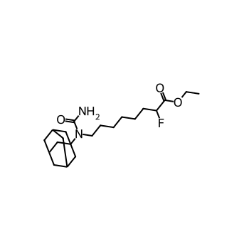 CCOC(=O)C(F)CCCCCCN(C(N)=O)C12CC3CC(CC(C3)C1)C2